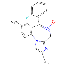 Cc1cn2c(n1)C[N+]([O-])=C(c1ccccc1F)c1cc([N+](=O)[O-])ccc1-2